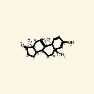 CC12C=C(O)C=C[C@]1(C)C1=CC[C@]3(C)C(=O)CCC3C1CC2